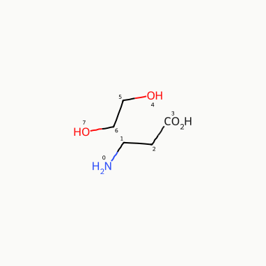 NCCC(=O)O.OCCO